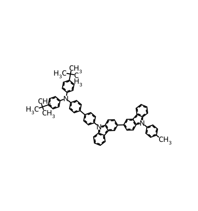 Cc1ccc(-n2c3ccccc3c3cc(-c4ccc5c(c4)c4ccccc4n5-c4ccc(-c5ccc(N(c6ccc(C(C)(C)C)cc6)c6ccc(C(C)(C)C)cc6)cc5)cc4)ccc32)cc1